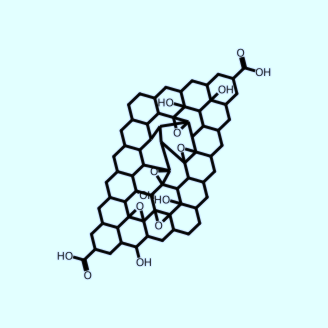 O=C(O)C1CC2CC3CC4CC5CC6CCC7CC8CC9CC(C(=O)O)CC%10CC%11CC%12CC%13CC%14CCC%15CC%16C(O)C(C1)C2C12OC%161C1%16OC%151C%14(O)C1C%13C%13%14OC%12%13C%12C%11C(C%109O)C8(O)C89OC%128C8C(C5C5C4C(O)(C32)C%16C12OC52C8%14)C6C79